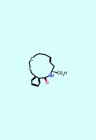 O=C1N[C@H](C(=O)O)C/C=C/CCCCCCCc2ccccc21